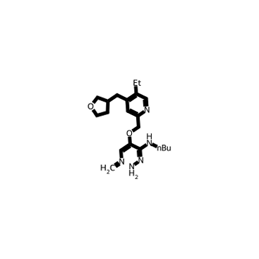 C=N/C=C(OCc1cc(CC2CCOC2)c(CC)cn1)\C(=N/N)NCCCC